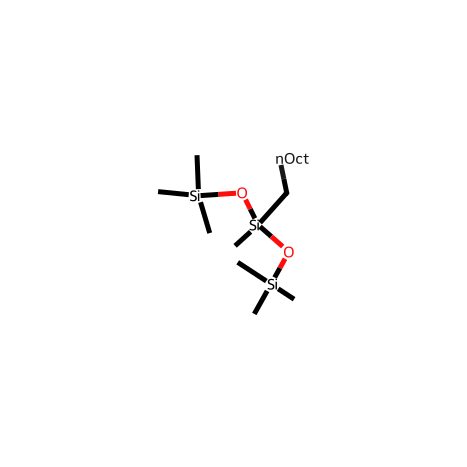 CCCCCCCCC[Si](C)(O[Si](C)(C)C)O[Si](C)(C)C